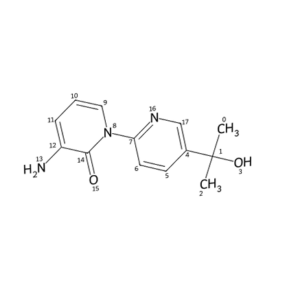 CC(C)(O)c1ccc(-n2cccc(N)c2=O)nc1